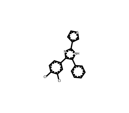 Clc1ccc(-c2nc(-c3ccsc3)[nH]c2-c2ccccc2)cc1Cl